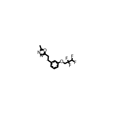 Cc1nnc(C[CH]c2cccc(OCC(F)(F)C(F)F)c2)o1